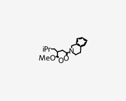 COC(=O)C(CC(=O)N1CCc2ccccc2C1)CC(C)C